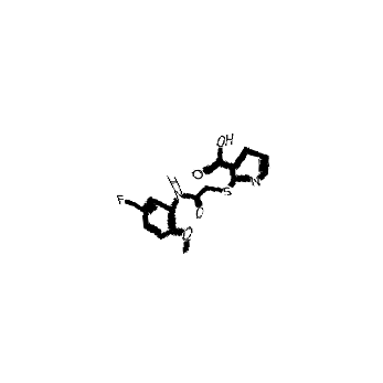 COc1ccc(F)cc1NC(=O)CSc1ncccc1C(=O)O